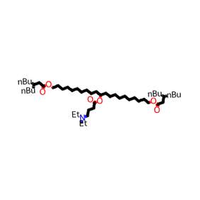 CCCCC(CCCC)CC(=O)OCCCCCCCCCCC(CCCCCCCCCCOC(=O)CC(CCCC)CCCC)OC(=O)CCCN(CC)CC